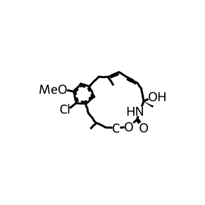 COc1cc2cc(c1Cl)CC(C)CCOC(=O)N[C@@](C)(O)C/C=C/C=C(\C)C2